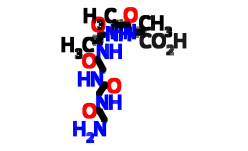 C[C@H](NC(=O)[C@H](C)NC(=O)[C@H](C)NC(=O)CNC(=O)CNC(=O)CN)C(=O)O